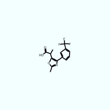 Cc1nc(-c2cccc(C(F)(F)F)c2)c(C(C)C(=O)O)o1